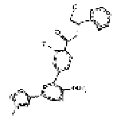 Cn1cc(-c2cnc(N)c(-c3ccc(C(=O)C[C@H](CO)c4ccccc4)c(F)c3)c2)cn1